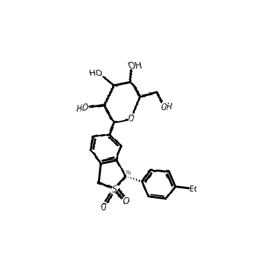 CCc1ccc([C@H]2c3cc(C4OC(CO)C(O)C(O)C4O)ccc3CS2(=O)=O)cc1